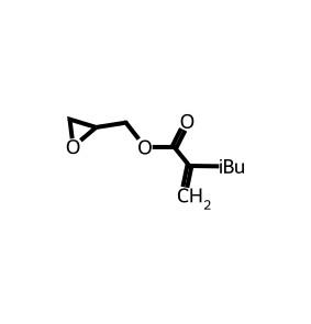 C=C(C(=O)OCC1CO1)C(C)CC